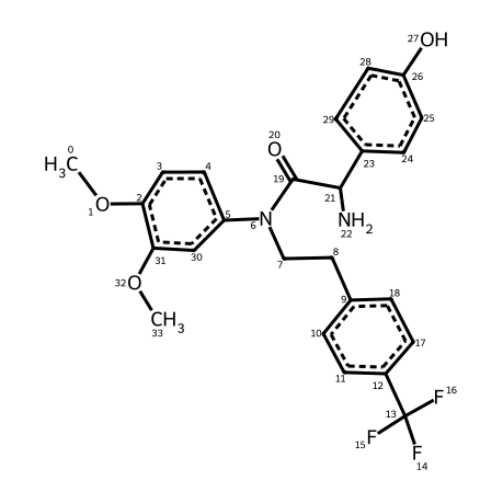 COc1ccc(N(CCc2ccc(C(F)(F)F)cc2)C(=O)C(N)c2ccc(O)cc2)cc1OC